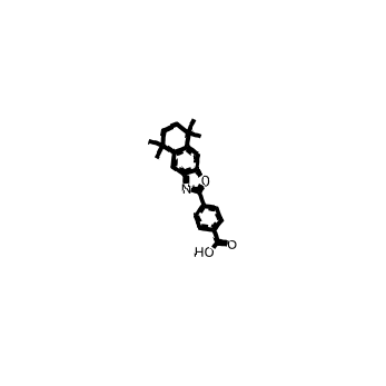 CC1(C)CCC(C)(C)c2cc3oc(-c4ccc(C(=O)O)cc4)nc3cc21